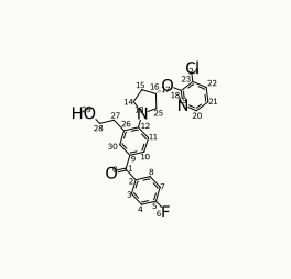 O=C(c1ccc(F)cc1)c1ccc(N2CC[C@H](Oc3ncccc3Cl)C2)c(CCO)c1